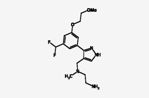 COCCOc1cc(-c2n[nH]cc2CN(C)CCN)cc(C(F)F)c1